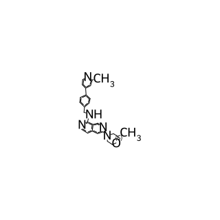 Cc1cc(-c2ccc(CNc3nccc4cc(N5CCO[C@@H](C)C5)ncc34)cc2)ccn1